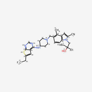 CCCCC(O)(CC)Cn1c(C#N)cc2c(C)c(CN3CCC(Nc4ncnc5sc(CC(F)(F)F)cc45)CC3)ccc21